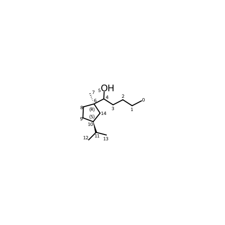 CCCCC(O)[C@]1(C)CC[C@H](C(C)C)C1